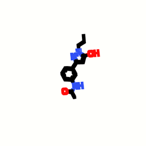 CCCn1nc(-c2cccc(NC(C)=O)c2)cc1O